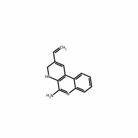 C=CC1=Cc2c(c(N)nc3ccccc23)NC1